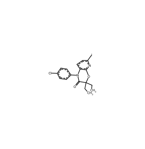 CCC1(CC)Oc2nc(I)ccc2N(c2ccc(Cl)cc2)C1=O